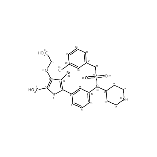 O=C(O)COc1c(C(=O)O)sc(-c2cccc(N(C3CCNCC3)S(=O)(=O)Cc3cccc(Cl)c3)c2)c1Br